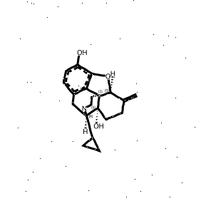 C=C1CC[C@@]2(O)[C@H]3Cc4ccc(O)c5c4[C@@]2(CCN3C2CC2)[C@H]1O5